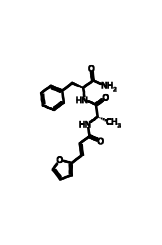 C[C@H](NC(=O)/C=C/c1ccco1)C(=O)N[C@@H](Cc1ccccc1)C(N)=O